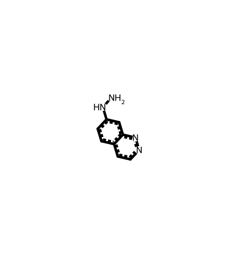 NNc1ccc2ccnnc2c1